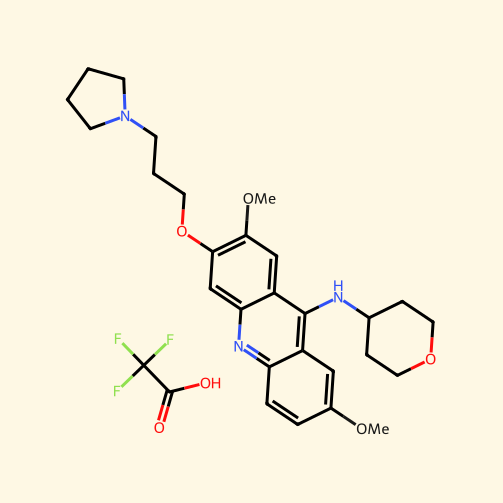 COc1ccc2nc3cc(OCCCN4CCCC4)c(OC)cc3c(NC3CCOCC3)c2c1.O=C(O)C(F)(F)F